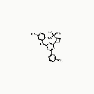 CC(C)(O)C1CCN1c1nc(Nc2ccnc(C(F)(F)F)c2)nc(-c2cccc(C(F)(F)F)n2)n1